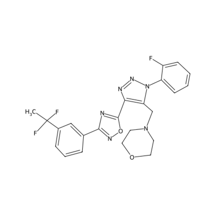 CC(F)(F)c1cccc(-c2noc(-c3nnn(-c4ccccc4F)c3CN3CCOCC3)n2)c1